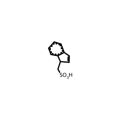 O=S(=O)(O)CC1C=Cc2ccccc21